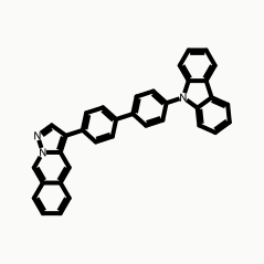 c1ccc2cn3ncc(-c4ccc(-c5ccc(-n6c7ccccc7c7ccccc76)cc5)cc4)c3cc2c1